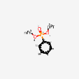 CCCOP(=O)(OCCC)c1cc[c]cc1